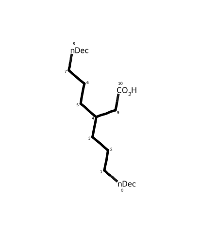 CCCCCCCCCCCCCC(CCCCCCCCCCCCC)CC(=O)O